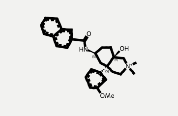 COc1cccc([C@@]23CC[N+](C)(C)C[C@@]2(O)CC[C@H](NC(=O)c2ccc4ccccc4c2)C3)c1